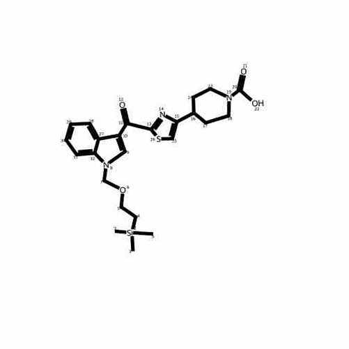 C[Si](C)(C)CCOCn1cc(C(=O)c2nc(C3CCN(C(=O)O)CC3)cs2)c2ccccc21